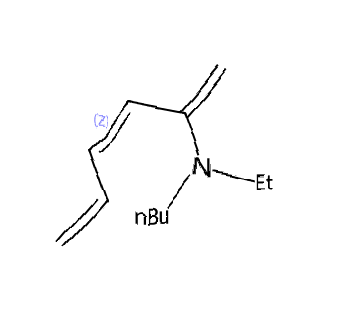 C=C/C=C\C(=C)N(CC)CCCC